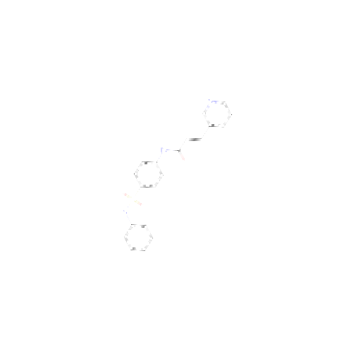 O=C(C=Cc1cccnc1)Nc1ccc(S(=O)(=O)Nc2ccccc2)cc1